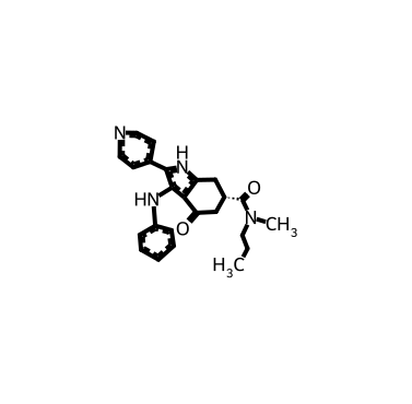 CCCN(C)C(=O)[C@@H]1CC(=O)c2c([nH]c(-c3ccncc3)c2Nc2ccccc2)C1